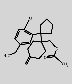 CCc1ccc(Cl)c(C2(C3(COC(C)=O)CCC(=O)CC3)CCCC2)c1